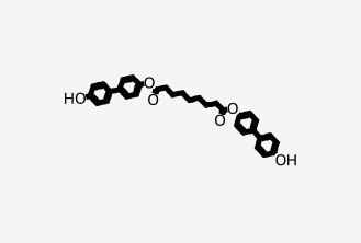 O=C(CCCCCCCC(=O)Oc1ccc(-c2ccc(O)cc2)cc1)Oc1ccc(-c2ccc(O)cc2)cc1